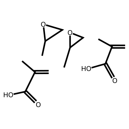 C=C(C)C(=O)O.C=C(C)C(=O)O.CC1CO1.CC1CO1